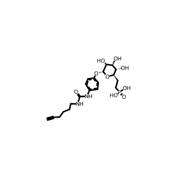 C#CCCCCNC(=O)Nc1ccc(O[C@H]2O[C@H](CCP(=O)(O)O)[C@@H](O)[C@H](O)[C@@H]2O)cc1